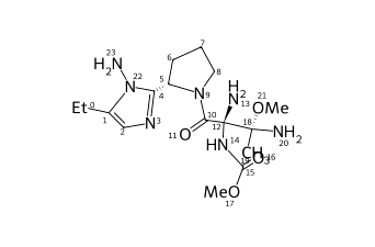 CCc1cnc([C@@H]2CCCN2C(=O)[C@@](N)(NC(=O)OC)[C@](C)(N)OC)n1N